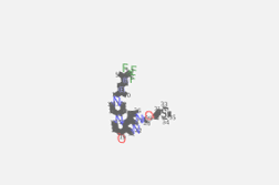 C/C(=C\C=C(/C)C(F)(F)F)CN1CCC(n2ccc(=O)c3cnc4c(ccn4COCC[Si](C)(C)C)c32)CC1